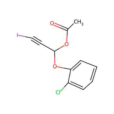 CC(=O)OC(C#CI)Oc1ccccc1Cl